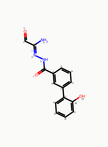 N/C(C=O)=N\NC(=O)c1cccc(-c2ccccc2O)c1